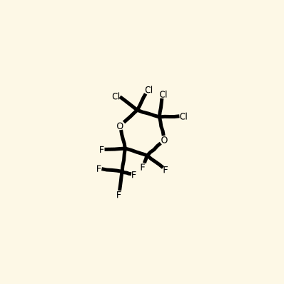 FC(F)(F)C1(F)OC(Cl)(Cl)C(Cl)(Cl)OC1(F)F